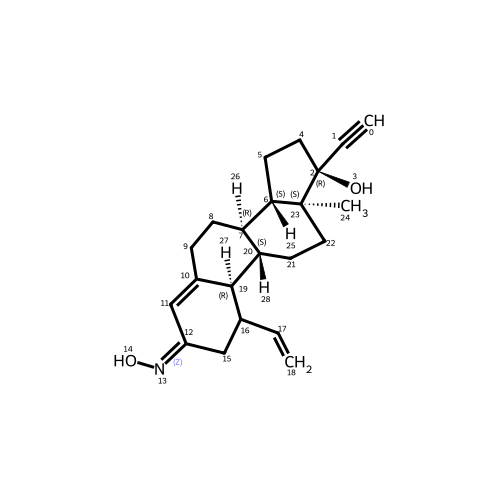 C#C[C@@]1(O)CC[C@H]2[C@@H]3CCC4=C/C(=N\O)CC(C=C)[C@@H]4[C@H]3CC[C@@]21C